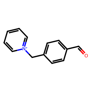 O=Cc1ccc(C[n+]2ccccc2)cc1